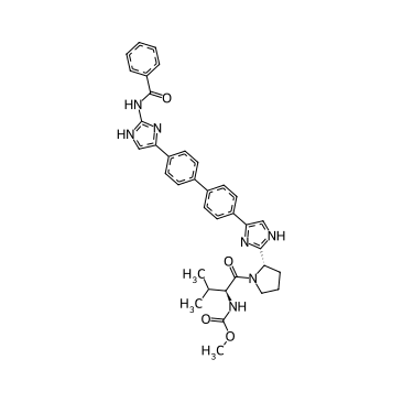 COC(=O)N[C@H](C(=O)N1CCC[C@H]1c1nc(-c2ccc(-c3ccc(-c4c[nH]c(NC(=O)c5ccccc5)n4)cc3)cc2)c[nH]1)C(C)C